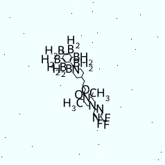 Bc1c(B)c(B)c(C(B)(B)N2CCC(CCOC(=O)N3[C@H](C)CN(c4cnc(C(F)(F)F)cn4)C[C@@H]3C)CC2)c(B)c1B